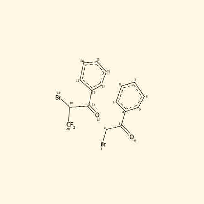 O=C(CBr)c1ccccc1.O=C(c1ccccc1)C(Br)C(F)(F)F